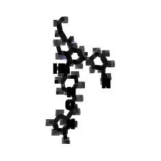 CC=C=C/C=c1/cc(C2C=C(C#N)C=CC2)cc(NC2CCN(COCC3CC=CC(C)=N3)CC2)/c1=C/C